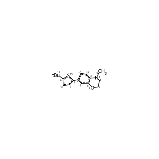 CN1CCOc2cc(-c3ccc(C(C)(C)C)s3)ccc21